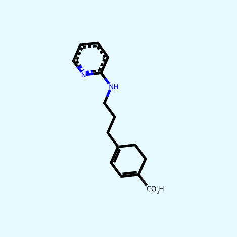 O=C(O)C1=CC=C(CCCNc2ccccn2)CC1